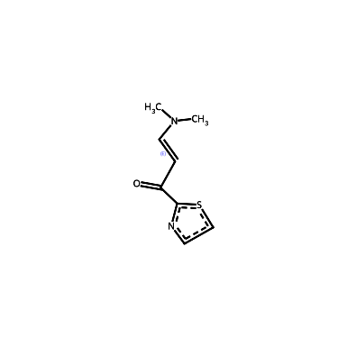 CN(C)/C=C/C(=O)c1nccs1